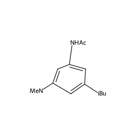 CCC(C)c1cc(NC)cc(NC(C)=O)c1